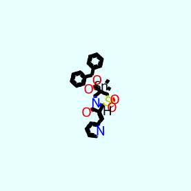 [CH3][Sn]([CH3])([CH3])[C]1(C(=O)OC(c2ccccc2)c2ccccc2)CN2C(=O)C(=Cc3ccccn3)[C@H]2S(=O)(=O)C1